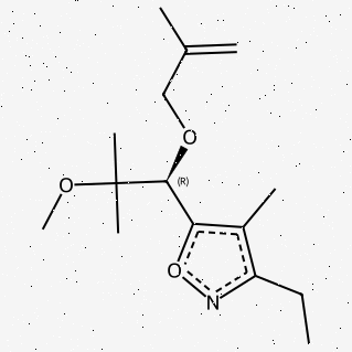 C=C(C)CO[C@@H](c1onc(CC)c1C)C(C)(C)OC